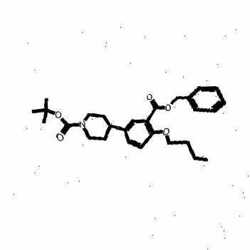 CCCCOc1ccc(C2CCN(C(=O)OC(C)(C)C)CC2)cc1C(=O)OCc1ccccc1